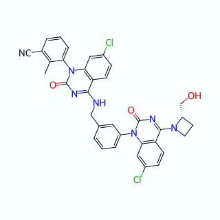 Cc1c(C#N)cccc1-n1c(=O)nc(NCc2cccc(-n3c(=O)nc(N4CC[C@H]4CO)c4ccc(Cl)cc43)c2)c2ccc(Cl)cc21